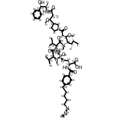 CC[C@H](C)[C@@H]([C@@H](CC(=O)N1CCC([C@H](OC)[C@@H](C)C(=O)N[C@H](C)[C@@H](O)c2ccccc2)C1)OC)N(C)C(=O)C(NC(=O)C(C(C)C)N(C)P(=O)(O)OC[C@H](NC(=O)c1ccc(CCCCCN=[N+]=[N-])cc1)C(=O)O)C(C)C